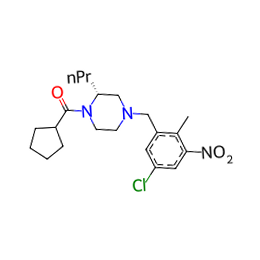 CCC[C@@H]1CN(Cc2cc(Cl)cc([N+](=O)[O-])c2C)CCN1C(=O)C1CCCC1